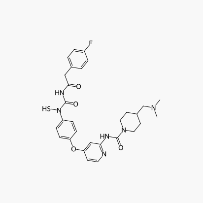 CN(C)CC1CCN(C(=O)Nc2cc(Oc3ccc(N(S)C(=O)NC(=O)Cc4ccc(F)cc4)cc3)ccn2)CC1